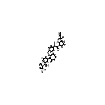 C=C1CC=CC(c2cc(NC(=O)c3ccnc(C(C)(C)C#N)c3)cnc2C)=CC1c1ccnc(NC(=O)C(C)(C)C)c1